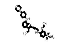 N#CCOc1cc(S(N)(=O)=O)ccc1NCC#Cc1sc2c(NC3CCC(N4CCOCC4)CC3)cccc2c1CC(F)(F)F